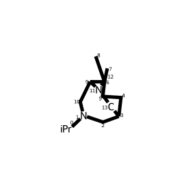 CC(C)N1CC2CCC(C)(C)C(C1)N(C)C2